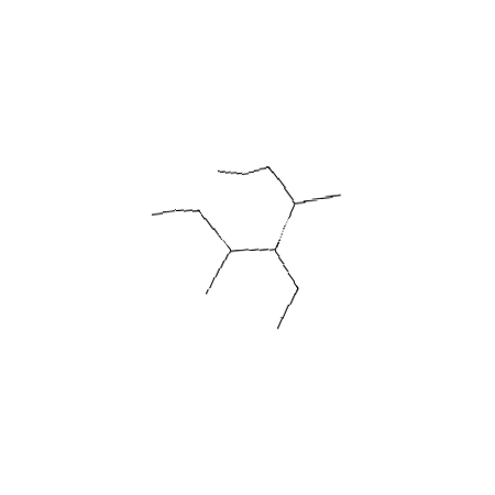 CCC(C)C(CC)C(C)CC